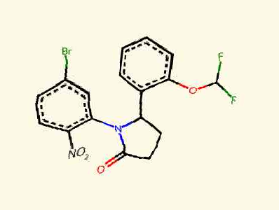 O=C1CCC(c2ccccc2OC(F)F)N1c1cc(Br)ccc1[N+](=O)[O-]